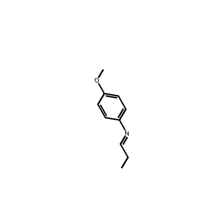 CCC=Nc1ccc(OC)cc1